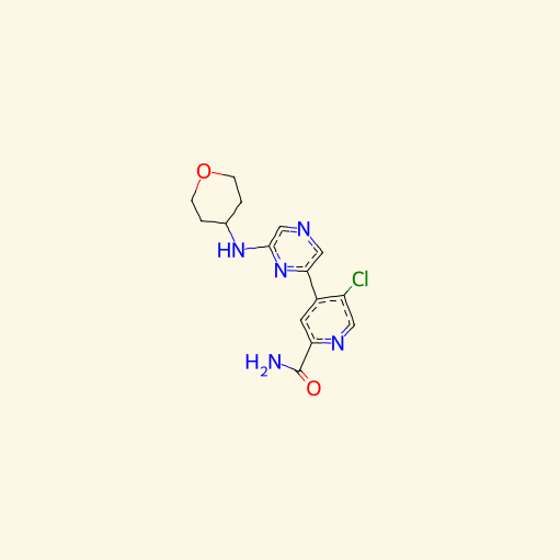 NC(=O)c1cc(-c2cncc(NC3CCOCC3)n2)c(Cl)cn1